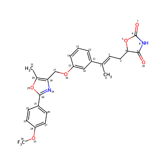 CC(=CCC1OC(=O)NC1=O)c1cccc(OCc2nc(-c3ccc(OC(F)(F)F)cc3)oc2C)c1